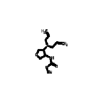 C=CCN(CC=C)C1COCC1NC(=O)OC(C)(C)C